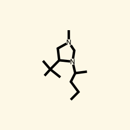 CCCC(C)N1CN(C)CC1C(C)(C)C